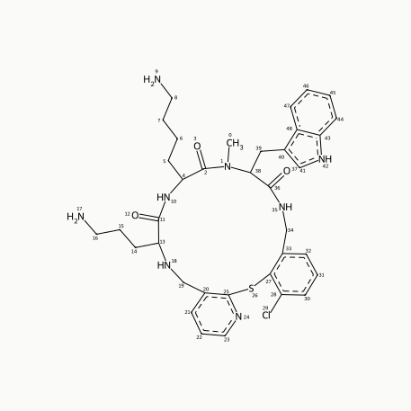 CN1C(=O)C(CCCCN)NC(=O)C(CCCN)NCc2cccnc2Sc2c(Cl)cccc2CNC(=O)C1Cc1c[nH]c2ccccc12